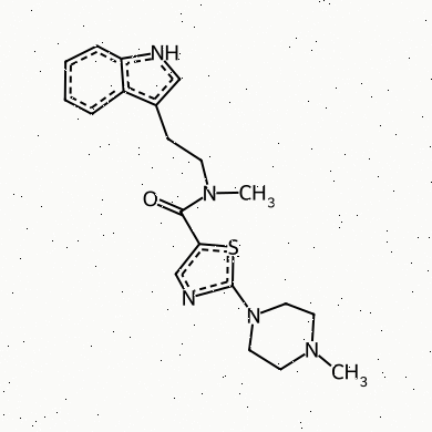 CN1CCN(c2ncc(C(=O)N(C)CCc3c[nH]c4ccccc34)s2)CC1